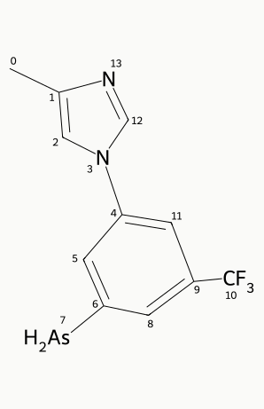 Cc1cn(-c2cc([AsH2])cc(C(F)(F)F)c2)cn1